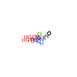 CC(Nc1nc(Cl)nc2c1ncn2[C@@H]1O[C@H](CO)[C@@H](O)[C@H]1O)[C@@H](S)c1nc2ccccc2s1